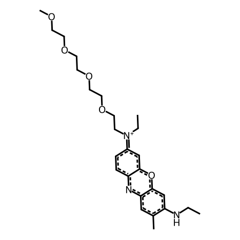 CCNc1cc2oc3c/c(=[N+](\CC)CCOCCOCCOCCOC)ccc-3nc2cc1C